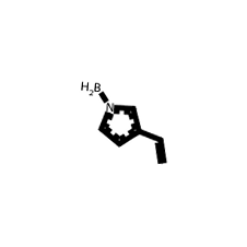 Bn1ccc(C=C)c1